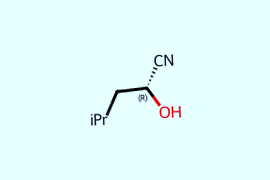 CC(C)C[C@@H](O)C#N